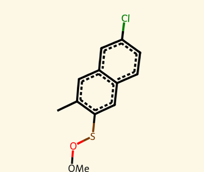 COOSc1cc2ccc(Cl)cc2cc1C